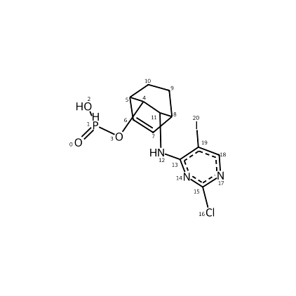 O=[PH](O)OC1C2C=CC(CC2)C1Nc1nc(Cl)ncc1I